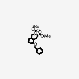 COC(=O)[C@@H]1Cc2c(cccc2OCc2ccccc2)CN1C(=O)OC(C)(C)C